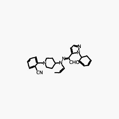 C/C=C\N(/N=C(\C=O)c1ccnn1C1C=CC=CC1)C1CCN(c2ccccc2C#N)CC1